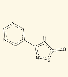 O=c1[nH]c(-c2cncnc2)ns1